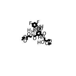 CC1(C)OCC(C(O)CNC(=O)c2cc(C(=O)NCC(O)C3COC(C)(C)O3)cc(S(=O)(=O)Nc3c(F)cc(F)cc3F)c2)O1